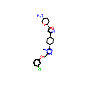 Cn1c(COc2cccc(Cl)c2)nnc1[C@H]1CC[C@H](c2cc([C@@H]3CC[C@@H](N)CO3)on2)CC1